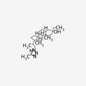 CC[C@@]1(O)CC[C@@]2(C)[C@@H](CC[C@@H]3[C@@H]2CC[C@]2(C)C([C@@H](C)Cn4nnc(C)n4)CC[C@@H]32)C1